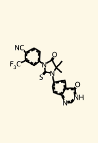 CC1(C)C(=O)N(c2ccc(C#N)c(C(F)(F)F)c2)C(=S)N1c1ccc2nc[nH]c(=O)c2c1